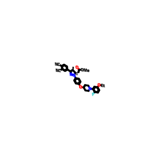 CCOc1ccc(F)c(N2CCC(Oc3ccc(N4N=C(c5ccc(C#N)c(C#N)c5)[C@@H](C)[C@@H]4CC(=O)OC)cc3)CC2)c1